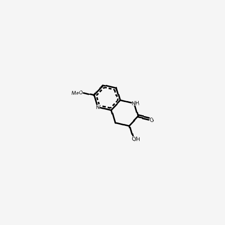 COc1ccc2c(n1)CC(O)C(=O)N2